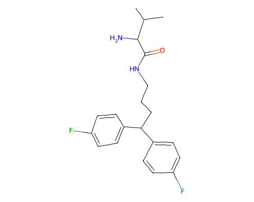 CC(C)C(N)C(=O)NCCCC(c1ccc(F)cc1)c1ccc(F)cc1